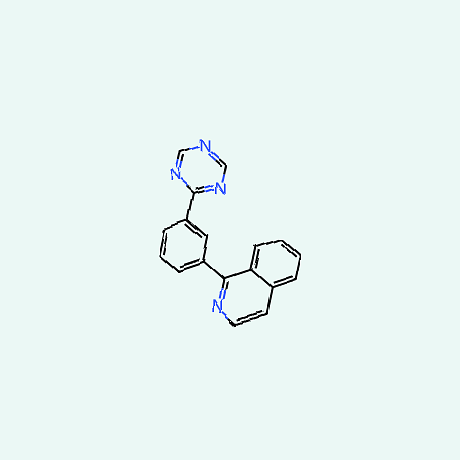 c1cc(-c2ncncn2)cc(-c2nccc3ccccc23)c1